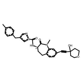 Cc1ccc(Cc2cnn(C(=O)N[C@@H]3CCc4ccc(C#CC5(O)CCOCC5)cc4N(C)C3=O)c2)cc1